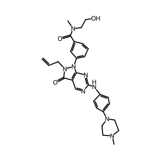 C=CCn1c(=O)c2cnc(Nc3ccc(N4CCN(C)CC4)cc3)nc2n1-c1cccc(C(=O)N(C)CCO)c1